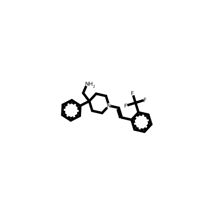 NCC1(c2ccccc2)CCN(C=Cc2ccccc2C(F)(F)F)CC1